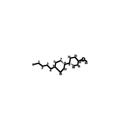 CCCCC[C@H]1CC[C@H]([C@H]2CC[C@H](OC)CC2)CC1